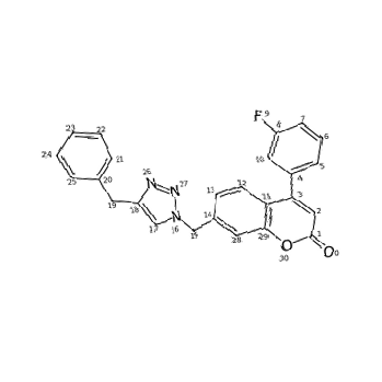 O=c1cc(-c2cccc(F)c2)c2ccc(Cn3cc(Cc4ccccc4)nn3)cc2o1